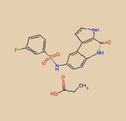 CCC(=O)O.O=c1[nH]c2ccc(NS(=O)(=O)c3cccc(F)c3)cc2c2cc[nH]c12